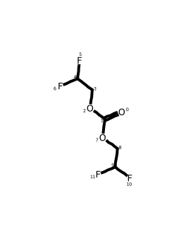 O=C(OCC(F)F)OCC(F)F